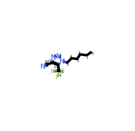 CCCCCCn1nnc(C#N)c1C(F)(F)F